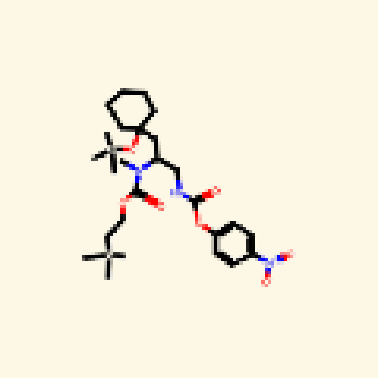 CN(C(=O)OCC[Si](C)(C)C)C(CNC(=O)Oc1ccc([N+](=O)[O-])cc1)CC1(O[Si](C)(C)C)CCCCC1